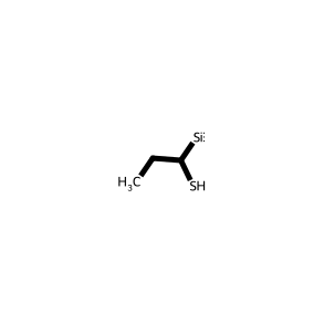 CCC([Si])S